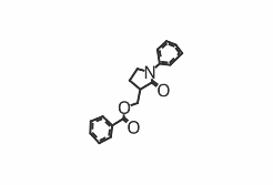 O=C(OCC1CCN(c2ccccc2)C1=O)c1ccccc1